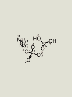 O=P([O-])([O-])[O-].O=S(O)O.[Na+].[Na+].[Na+]